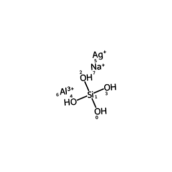 O[Si](O)(O)O.[Ag+].[Al+3].[Na+]